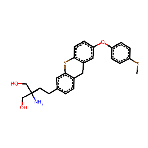 CSc1ccc(Oc2ccc3c(c2)Cc2ccc(CCC(N)(CO)CO)cc2S3)cc1